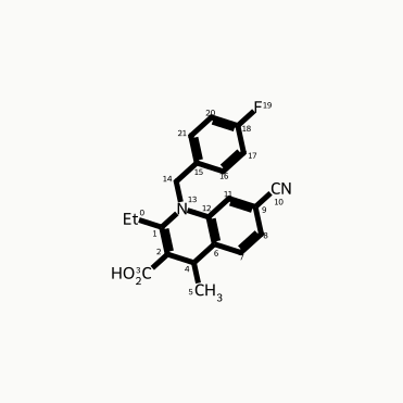 CCC1=C(C(=O)O)C(C)c2ccc(C#N)cc2N1Cc1ccc(F)cc1